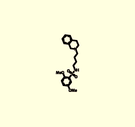 COc1ccc(OC)c(S(=O)(=O)NCCCCN2CCc3ccccc3C2)c1